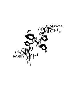 CN[C@H](C)C(=O)N[C@@H](C(=O)N1CCC[C@H]1Cn1c(-c2nc3cc(F)ccc3n2C[C@@H]2CCCN2C(=O)[C@H](NC(O)[C@@H](C)NC)C(C)O)nc2cc(F)ccc21)C(C)O